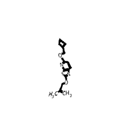 CC(C)COc1nc2ccc(OCC3CCC3)nc2s1